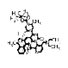 CCN(CC)Cc1ccnc(C(C)C)c1-n1c(=O)nc(N2CC(C)N(C(=O)OC(C)(C)C)CC2C)c2cc(Cl)c(-c3ccccc3C(C)C)nc21